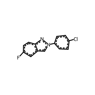 Fc1ccc2nn(-c3ccc(Cl)cc3)cc2c1